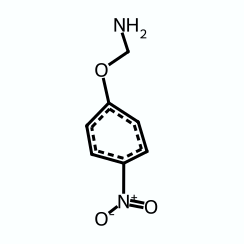 NCOc1ccc([N+](=O)[O-])cc1